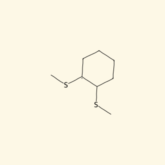 CS[C]1CCCCC1SC